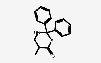 CC1CNC(c2ccccc2)(c2ccccc2)SC1=O